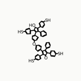 O=C1C(c2ccc(S)cc2)=C(c2ccccc2)C(c2ccc(Oc3ccc(C4=C(c5ccc(S)cc5)C(O)C(c5ccc(S)cc5)=C4c4ccccc4)cc3)cc2)=C1c1ccc(S)cc1